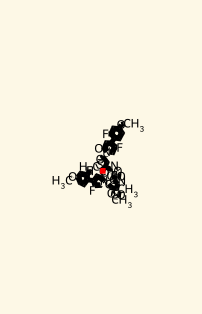 COc1ccc(-c2cc(=O)n(CCC(C)(C3=NO[B-]4(ON=C(C(C)(CCn5cc(F)c(-c6ccc(OC)cc6F)cc5=O)S(C)(=O)=O)O4)O3)[S+](C)[O-])cc2F)c(F)c1